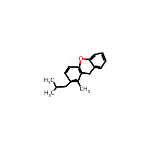 Cc1c(CC(C)C)ccc2c1Cc1ccccc1O2